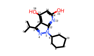 CC(C)c1nn(C2CCCCC2)c2nc(O)cc(O)c12